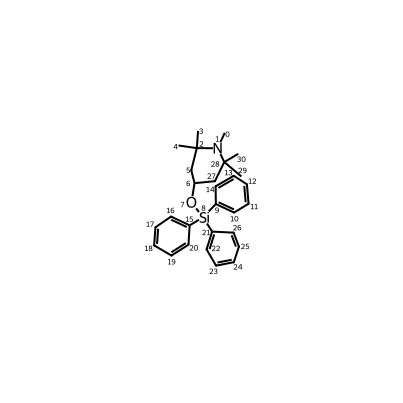 CN1C(C)(C)CC(O[Si](c2ccccc2)(c2ccccc2)c2ccccc2)CC1(C)C